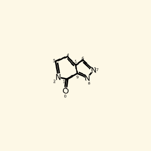 O=C1N=CC=C2C=NN=C12